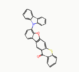 O=c1c2ccccc2sc2cc3oc4c(-n5c6ccccc6c6ccccc65)cccc4c3cc12